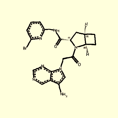 Nc1cn(CC(=O)N2[C@@H]3CC[C@@H]3C[C@H]2C(=O)Nc2cccc(Br)n2)c2ncncc12